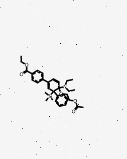 CCOC(=O)c1ccc(C2=CC(c3ccccc3)([Si](C)(C)C)C(OCCOC(C)=O)(N(CC)CC)C=C2)cc1